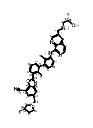 Cc1c(Nc2nccc3cc(CNC[C@H](C)O)cnc23)cccc1-c1cccc(-c2nc3cc(CN4CC[C@@H](C)C4)cc(C#N)c3o2)c1C